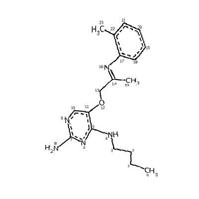 CCCCNc1nc(N)ncc1OC/C(C)=N/c1ccccc1C